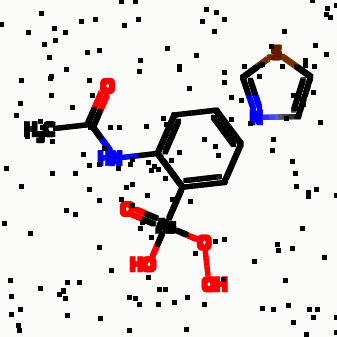 CC(=O)Nc1ccccc1[As](=O)(O)OO.c1cscn1